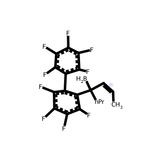 BC(/C=C\C)(CCC)c1c(F)c(F)c(F)c(F)c1-c1c(F)c(F)c(F)c(F)c1F